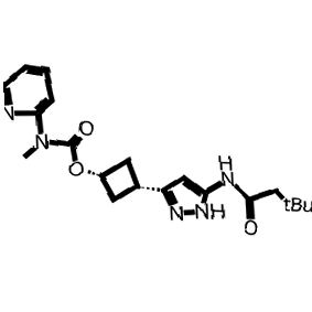 CN(C(=O)O[C@H]1C[C@@H](c2cc(NC(=O)CC(C)(C)C)[nH]n2)C1)c1ccccn1